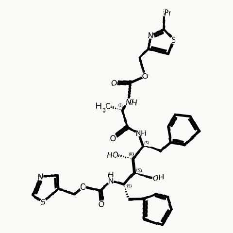 CC(C)c1nc(COC(=O)N[C@@H](C)C(=O)N[C@@H](Cc2ccccc2)[C@@H](O)[C@@H](O)[C@H](Cc2ccccc2)NC(=O)OCc2cncs2)cs1